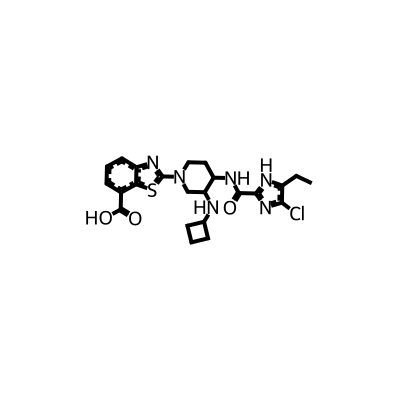 CCc1[nH]c(C(=O)NC2CCN(c3nc4cccc(C(=O)O)c4s3)CC2NC2CCC2)nc1Cl